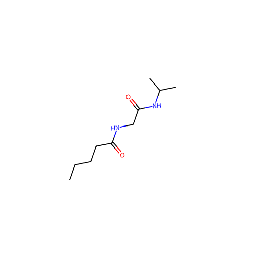 CCCCC(=O)NCC(=O)NC(C)C